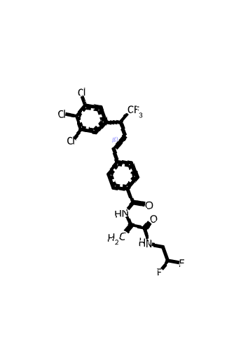 C=C(NC(=O)c1ccc(/C=C/C(c2cc(Cl)c(Cl)c(Cl)c2)C(F)(F)F)cc1)C(=O)NCC(F)F